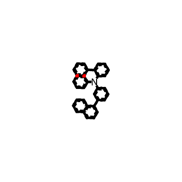 c1ccc(-c2ccccc2N(c2ccccc2)c2cccc(-c3cccc4ccccc34)c2)cc1